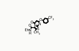 CCNC(=O)c1c(C)sc2nc(Oc3cccc(C(F)(F)F)c3)cc(=O)n12